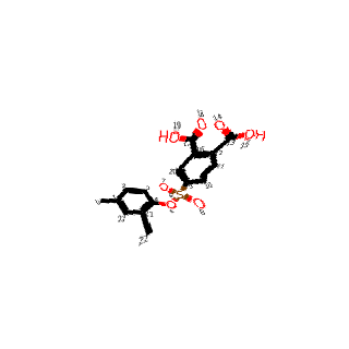 Cc1ccc(OS(=O)(=O)c2ccc(C(=O)O)c(C(=O)O)c2)c(C)c1